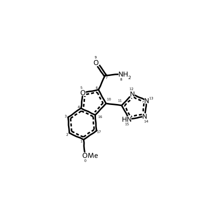 COc1ccc2oc(C(N)=O)c(-c3nnn[nH]3)c2c1